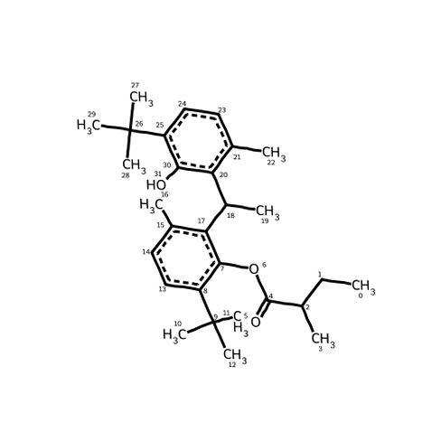 CCC(C)C(=O)Oc1c(C(C)(C)C)ccc(C)c1C(C)c1c(C)ccc(C(C)(C)C)c1O